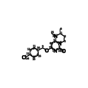 CC1CCn2c(cc(OCc3ccc(Cl)cc3)nc2=O)N1C